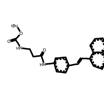 CC(C)(C)OC(=O)NCCC(=O)Nc1ccc(C=Cc2ccnc3ccccc23)cc1